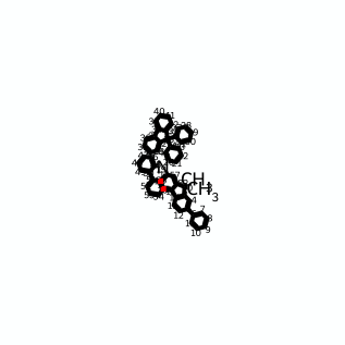 CC1(C)c2cc(-c3ccccc3)ccc2-c2ccc(N(c3cccc(C4(c5ccccc5)c5ccccc5-c5ccccc54)c3)c3ccccc3-c3ccccc3)cc21